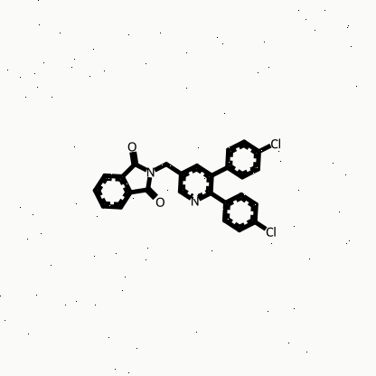 O=C1c2ccccc2C(=O)N1Cc1cnc(-c2ccc(Cl)cc2)c(-c2ccc(Cl)cc2)c1